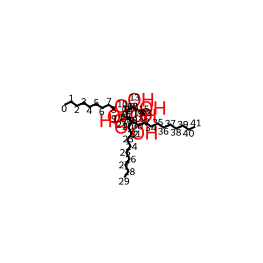 CCCCCCCCC(=O)O[C@H]([C@H](O)CO)[C@H](O)[C@](O)(C(=O)CCCCCCCC)C(O)C(=O)CCCCCCCC